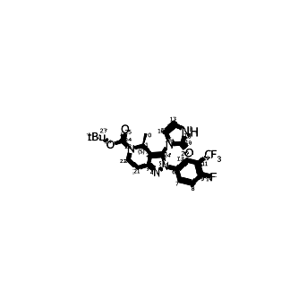 C[C@H]1c2c(nn(-c3ccc(F)c(C(F)(F)F)c3)c2-n2cc[nH]c2=O)CCN1C(=O)OC(C)(C)C